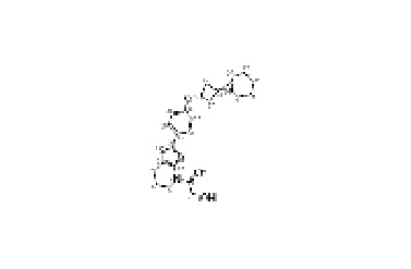 O=C(CO)N1CCCc2sc(-c3ccc(O[C@H]4C[C@H](N5CCCCC5)C4)cc3)nc21